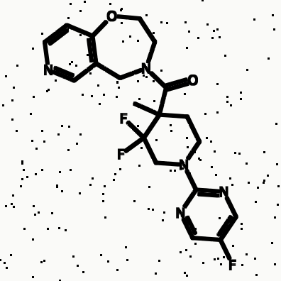 CC1(C(=O)N2CCOc3ccncc3C2)CCN(c2ncc(F)cn2)CC1(F)F